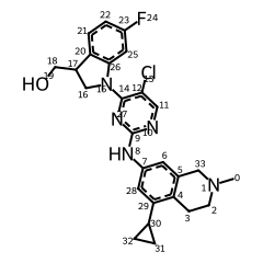 CN1CCc2c(cc(Nc3ncc(Cl)c(N4CC(CO)c5ccc(F)cc54)n3)cc2C2CC2)C1